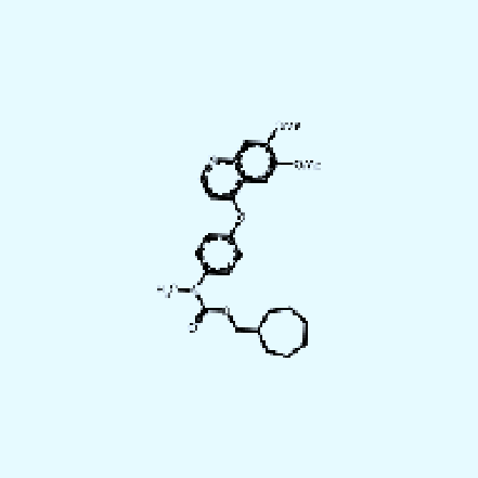 COc1cc2nccc(Oc3ccc(N(C)C(=O)OCC4CCCCCC4)cc3)c2cc1OC